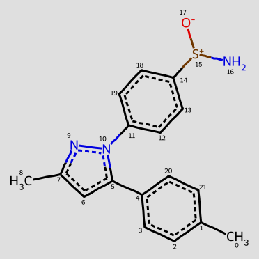 Cc1ccc(-c2cc(C)nn2-c2ccc([S+](N)[O-])cc2)cc1